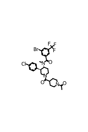 CC(=O)N1CCC(C(=O)N2CC[C@@H](N(C)C(=O)c3cc(Br)cc(C(F)(F)F)c3)[C@H](c3ccc(Cl)cc3)C2)CC1